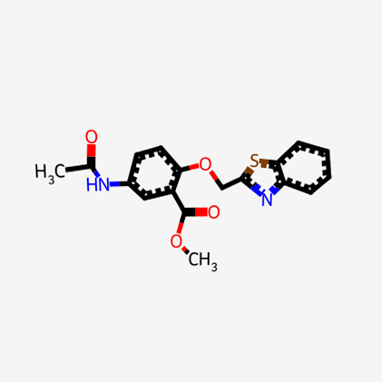 COC(=O)c1cc(NC(C)=O)ccc1OCc1nc2ccccc2s1